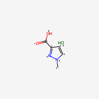 Cl.Cn1ccc(C(=O)O)n1